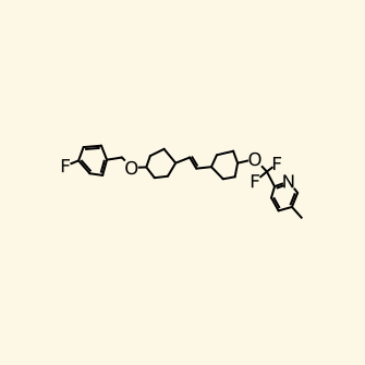 Cc1ccc(C(F)(F)OC2CCC(/C=C/C3CCC(OCc4ccc(F)cc4)CC3)CC2)nc1